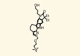 CCC1(CC)C(=O)N(CCCO)c2cc3c4c([nH]c3cc21)-c1nn(COCC[Si](C)(C)C)cc1CCC4